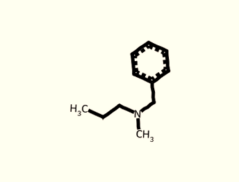 C[CH]CN(C)Cc1ccccc1